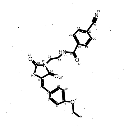 CCOc1ccc(C=C2SC(=O)N(CCNC(=O)c3ccc(C#N)cc3)C2=O)cc1